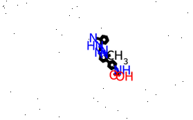 Cc1c(-c2ccc(NC(=O)O)cc2)ccc2nc(Nc3ccccc3C#N)nn12